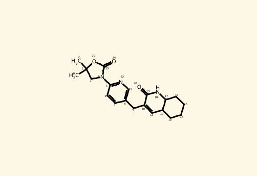 CC1(C)CN(c2ccc(CC3=CC4CCCCC4NC3=O)cn2)C(=O)O1